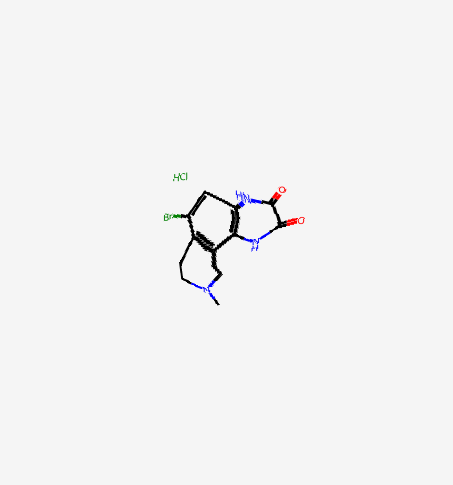 CN1CCc2c(Br)cc3[nH]c(=O)c(=O)[nH]c3c2C1.Cl